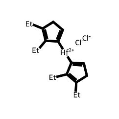 CCC1=C(CC)[C]([Hf+2][C]2=CCC(CC)=C2CC)=CC1.[Cl-].[Cl-]